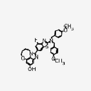 COc1ccc(CN(Cc2ccc(OC)cc2)c2nc3c(F)cc(-c4nc5cc(O)cc6c5n4CCCCO6)cc3s2)cc1